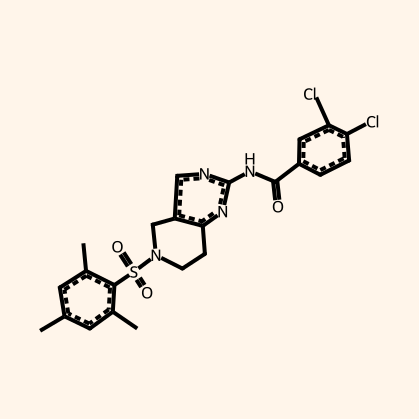 Cc1cc(C)c(S(=O)(=O)N2CCc3nc(NC(=O)c4ccc(Cl)c(Cl)c4)ncc3C2)c(C)c1